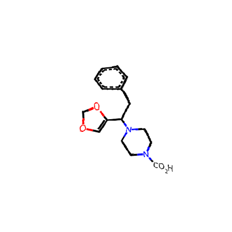 O=C(O)N1CCN(C(Cc2ccccc2)C2=COCO2)CC1